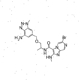 CNc1nc2cnc(Br)cn2c1C(=O)NC(C)COCc1cc(N)c2nnn(C)c2c1